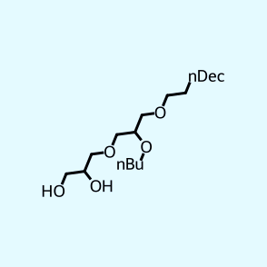 CCCCCCCCCCCCOCC(COCC(O)CO)OCCCC